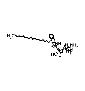 C#C[C@]1(CO[PH](=O)N[C@@H](Cc2ccccc2)C(=O)OCCCCCCCCCCCCCCCCCCC)O[C@@H](n2cnc3c(N)nc(F)nc32)C[C@@H]1O